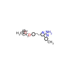 Cc1ccc2c(c1)nc(N)c1ncc(CCc3ccc(OCCO[Si](C)(C)C(C)(C)C)cc3)cc12